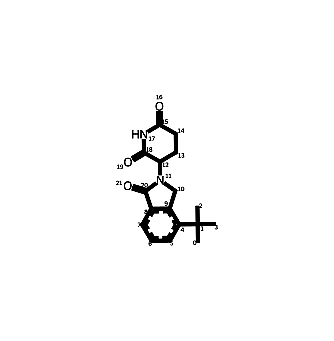 CC(C)(C)c1cccc2c1CN(C1CCC(=O)NC1=O)C2=O